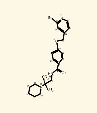 C[C@](CNC(=O)c1ccc(OCc2ccnc(Br)c2)cc1)(C(=O)O)N1CCCCC1